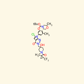 Cc1cc(-n2c(Cl)cc3c(=O)n(CC4(O)CCN(C(=O)[C@@]5(C)C[C@@H]5C(F)(F)F)CC4)cnc32)ccc1[C@H]1CO[C@H](C)CN1C(=O)OC(C)(C)C